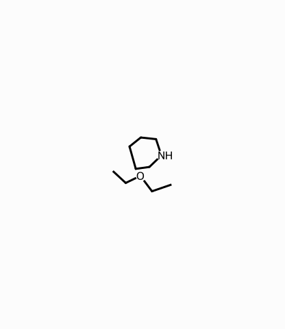 C1CCNCC1.CCOCC